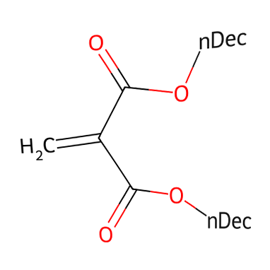 C=C(C(=O)OCCCCCCCCCC)C(=O)OCCCCCCCCCC